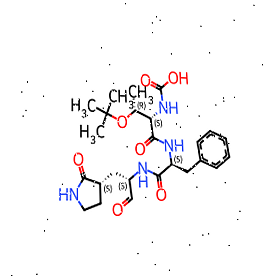 C[C@@H](OC(C)(C)C)[C@H](NC(=O)O)C(=O)N[C@@H](Cc1ccccc1)C(=O)N[C@H](C=O)C[C@@H]1CCNC1=O